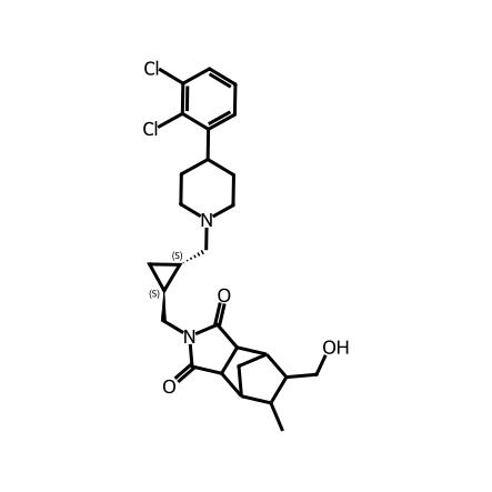 CC1C(CO)C2CC1C1C(=O)N(C[C@H]3C[C@@H]3CN3CCC(c4cccc(Cl)c4Cl)CC3)C(=O)C21